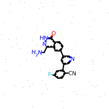 N#Cc1ccc(F)cc1-c1cncc(-c2ccc3c(=O)[nH]nc(CN)c3c2)c1